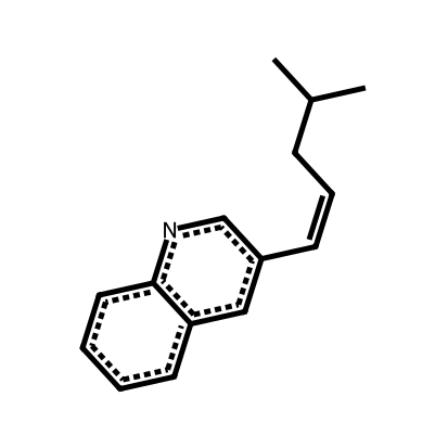 CC(C)C/C=C\c1cnc2ccccc2c1